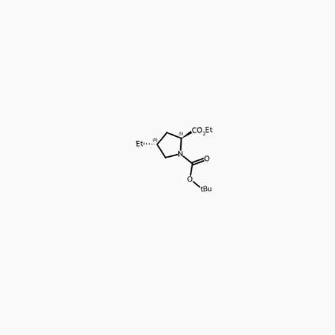 CCOC(=O)[C@@H]1C[C@@H](CC)CN1C(=O)OC(C)(C)C